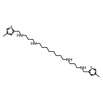 Cc1csc(CNCCCNCCCCCCCCNCCCNCc2cc(C)cs2)c1